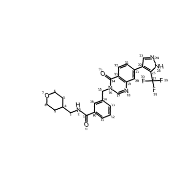 O=C(NCC1CCOCC1)c1cccc(Cn2cnc3cc(-c4cn[nH]c4C(F)(F)F)ccc3c2=O)c1